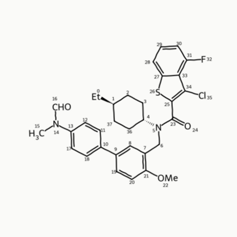 CC[C@H]1CC[C@H](N(Cc2cc(-c3ccc(N(C)C=O)cc3)ccc2OC)C(=O)c2sc3cccc(F)c3c2Cl)CC1